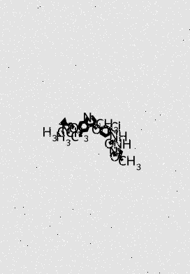 CCc1cc2c(O[C@]3(C)C=CC(NC(=O)Nc4cc(C)on4)=C(Cl)C3)ccnc2cc1OCC1(N(C)C)CC1